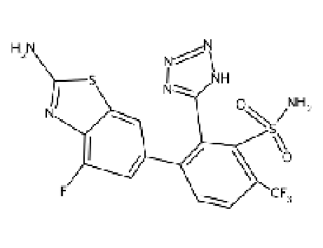 Nc1nc2c(F)cc(-c3ccc(C(F)(F)F)c(S(N)(=O)=O)c3-c3nnn[nH]3)cc2s1